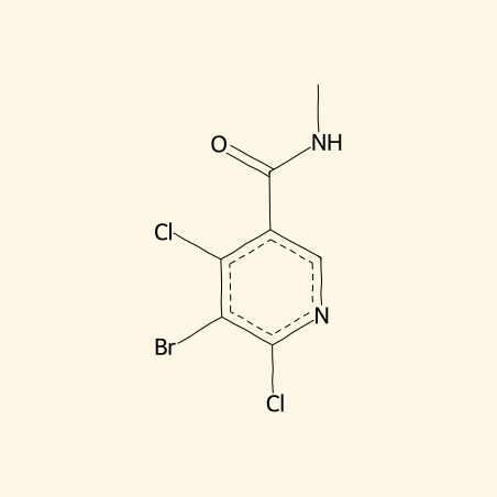 CNC(=O)c1cnc(Cl)c(Br)c1Cl